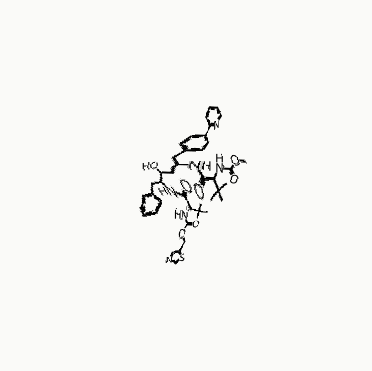 COC(=O)NC(C(=O)NC(Cc1ccc(-c2ccccn2)cc1)CC(O)C(Cc1ccccc1)NC(=O)[C@@H](NC(=O)OCc1cncs1)C(C)(C)C)C(C)(C)C